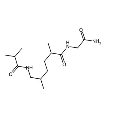 CC(CCC(C)C(=O)NCC(N)=O)CNC(=O)C(C)C